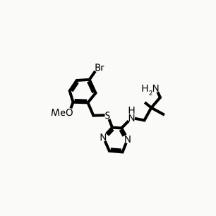 COc1ccc(Br)cc1CSc1nccnc1NCC(C)(C)CN